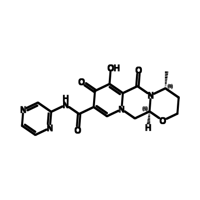 C[C@@H]1CCO[C@H]2Cn3cc(C(=O)Nc4cnccn4)c(=O)c(O)c3C(=O)N12